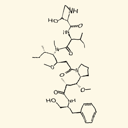 CC[C@H](C)[C@@H]([C@@H](CC(=O)N1CCC[C@H]1[C@H](OC)[C@@H](C)C(=O)N[C@H](CO)Cc1ccccc1)OC)N(C)C(=O)[C@@H](NC(=O)C1NCC1O)C(C)C